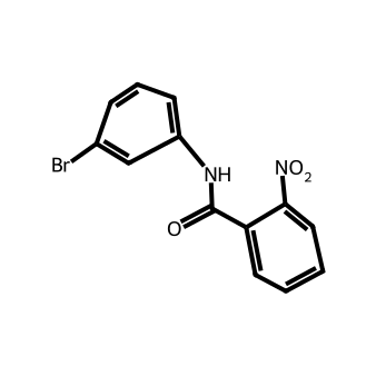 O=C(Nc1cccc(Br)c1)c1ccccc1[N+](=O)[O-]